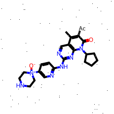 CC(=O)c1c(C)c2cnc(Nc3ccc([N+]4([O-])CCNCC4)cn3)nc2n(C2CCCC2)c1=O